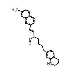 Cc1ccc2ncc(/C=C/C(CCCCc3ccc4c(n3)NCCC4)N=O)cc2c1